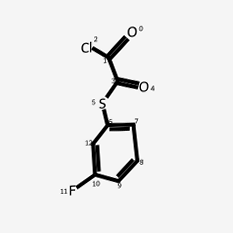 O=C(Cl)C(=O)Sc1cccc(F)c1